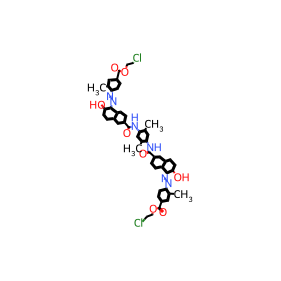 Cc1cc(C(=O)OCCCl)ccc1N=Nc1c(O)ccc2cc(C(=O)Nc3cc(C)c(NC(=O)c4ccc5c(N=Nc6ccc(C(=O)OCCCl)cc6C)c(O)ccc5c4)cc3C)ccc12